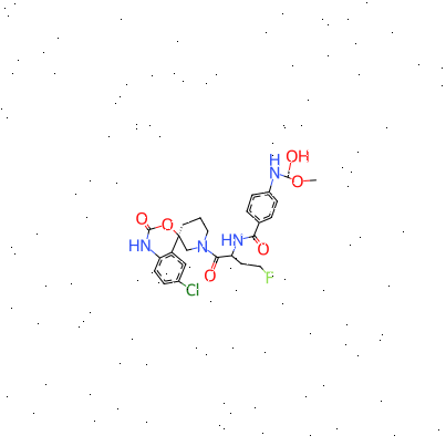 COC(O)Nc1ccc(C(=O)NC(CCF)C(=O)N2CCC[C@@]3(C2)OC(=O)Nc2ccc(Cl)cc23)cc1